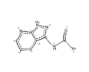 CC(C)C(=O)Nc1n[nH]c2ncccc12